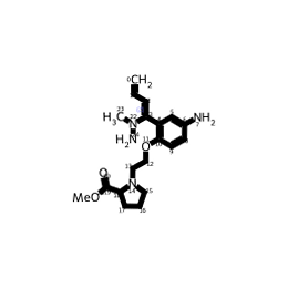 C=C/C=C(/c1cc(N)ccc1OCCN1CCCC1C(=O)OC)N(C)N